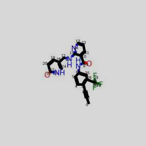 CC#Cc1ccc(NC(=O)c2cccnc2NCc2ccc(=O)[nH]c2)cc1C(F)(F)F